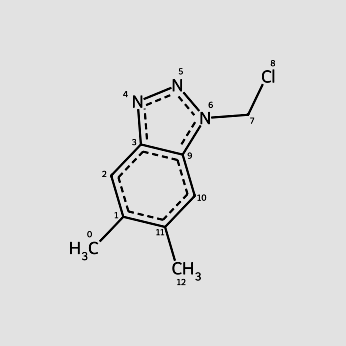 Cc1cc2nnn(CCl)c2cc1C